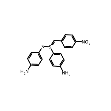 Nc1ccc(SS(=Cc2ccc([N+](=O)[O-])cc2)c2ccc(N)cc2)cc1